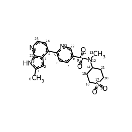 Cc1cc2c(-c3ccc(S(=O)(=O)N(C)C4CCS(=O)(=O)CC4)cn3)ccnc2[nH]1